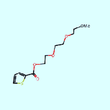 COCCOCCOCCOC(=O)c1cccs1